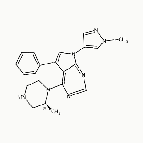 C[C@H]1CNCCN1c1ncnc2c1c(-c1ccccc1)cn2-c1cnn(C)c1